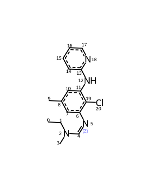 CCN(C)/C=N\c1cc(C)cc(Nc2ccccn2)c1Cl